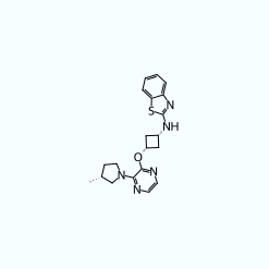 C[C@@H]1CCN(c2nccnc2O[C@H]2C[C@@H](Nc3nc4ccccc4s3)C2)C1